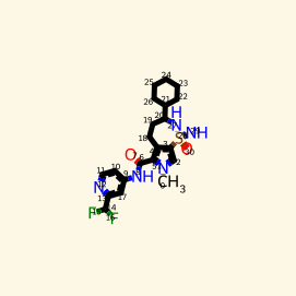 Cn1cc2c(c1C(=O)Nc1ccnc(C(F)F)c1)CCC(C1CCCCC1)NS2(=N)=O